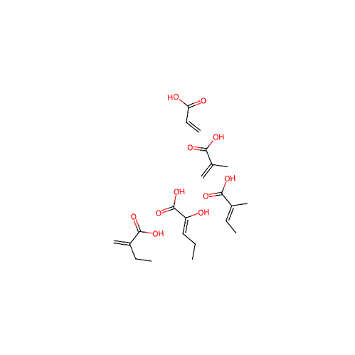 C/C=C(\C)C(=O)O.C=C(C)C(=O)O.C=C(CC)C(=O)O.C=CC(=O)O.CC/C=C(\O)C(=O)O